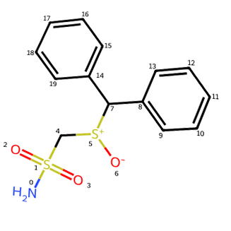 NS(=O)(=O)C[S+]([O-])C(c1ccccc1)c1ccccc1